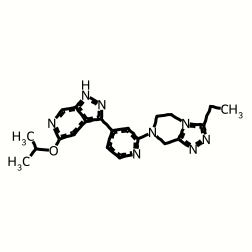 CCc1nnc2n1CCN(c1cc(-c3n[nH]c4cnc(OC(C)C)cc34)ccn1)C2